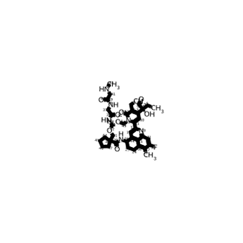 CCc1c([C@](O)(C=O)CC)cc(-c2cc3c4c(c(C)c(F)cc4n2)CCC3NC(=O)C2(COCNC(=O)CNC(=O)CNC)CCCC2)n(CC)c1=O